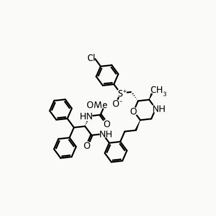 COC(=O)N[C@H](C(=O)Nc1ccccc1CC[C@@H]1CN[C@H](C)[C@@H](C[S+]([O-])c2ccc(Cl)cc2)O1)C(c1ccccc1)c1ccccc1